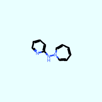 [C]1=CC=CC=CN1Nc1ccccn1